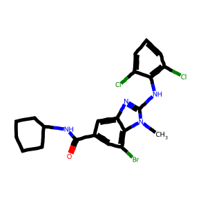 Cn1c(Nc2c(Cl)cccc2Cl)nc2cc(C(=O)NC3CCCCC3)cc(Br)c21